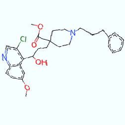 COC(=O)C1(CCC(O)c2c(Cl)cnc3ccc(OC)cc23)CCN(CCCc2ccccc2)CC1